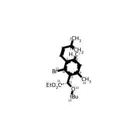 C=C(C)/C=C\c1c(C)cc(C)c([C@H](OC(C)(C)C)C(=O)OCC)c1Br